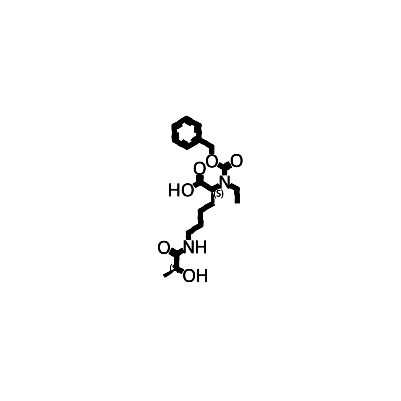 CCN(C(=O)OCc1ccccc1)[C@@H](CCCCNC(=O)[C@H](C)O)C(=O)O